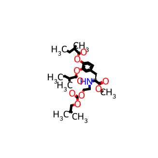 CCC(C)C(=O)Oc1ccc(C[C@H](NCCOC(=O)OCC(C)C)C(=O)OC)cc1OC(=O)C(C)CC